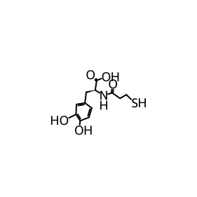 O=C(CCS)N[C@@H](Cc1ccc(O)c(O)c1)C(=O)O